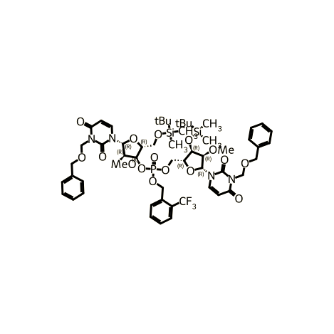 CO[C@@H]1[C@H](O[Si](C)(C)C(C)(C)C)[C@@H](COP(=O)(OCc2ccccc2C(F)(F)F)O[C@H]2[C@@H](OC)[C@H](n3ccc(=O)n(COCc4ccccc4)c3=O)O[C@@H]2CO[Si](C)(C)C(C)(C)C)O[C@H]1n1ccc(=O)n(COCc2ccccc2)c1=O